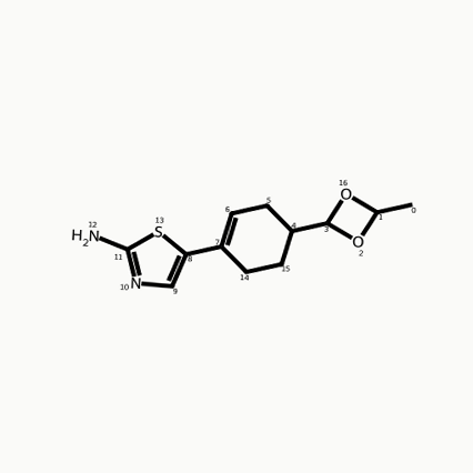 CC1OC(C2CC=C(c3cnc(N)s3)CC2)O1